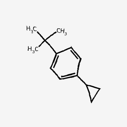 CC(C)(C)c1[c]cc(C2CC2)cc1